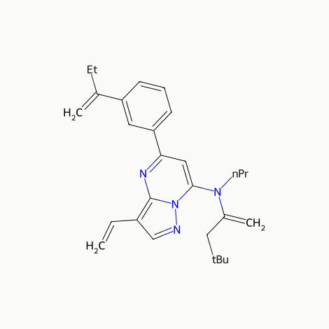 C=Cc1cnn2c(N(CCC)C(=C)CC(C)(C)C)cc(-c3cccc(C(=C)CC)c3)nc12